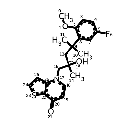 COc1ccc(F)cc1C(C)(C)CC(C)(O)Cn1ccc(=O)c2sccc21